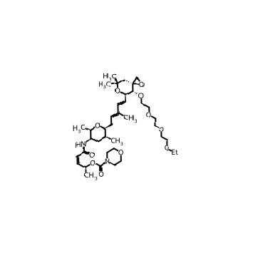 CCOCCOCCOCCO[C@@H]1[C@@H](/C=C/C(C)=C/C[C@@H]2O[C@H](C)[C@H](NC(=O)/C=C\[C@H](C)OC(=O)N3CCOCC3)C[C@@H]2C)OC(C)(C)C[C@@]12CO2